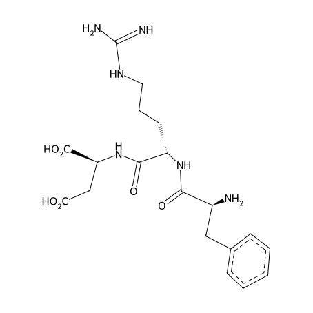 N=C(N)NCCC[C@H](NC(=O)[C@@H](N)Cc1ccccc1)C(=O)N[C@@H](CC(=O)O)C(=O)O